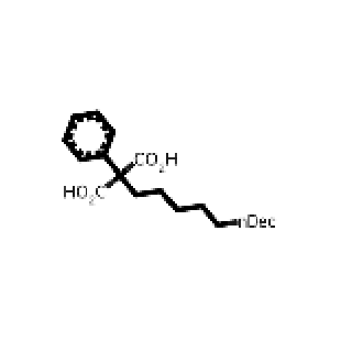 CCCCCCCCCCCCCCCC(C(=O)O)(C(=O)O)c1ccccc1